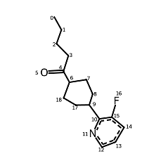 CCCCC(=O)C1CCC(c2ncccc2F)CC1